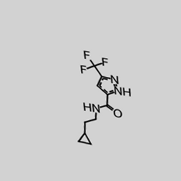 O=C(NCCC1CC1)c1cc(C(F)(F)F)n[nH]1